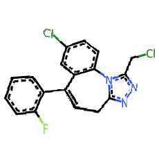 Fc1ccccc1C1=CCc2nnc(CCl)n2-c2ccc(Cl)cc21